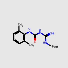 CCCCCNC(=N)NC(=O)Nc1c(C)cccc1C